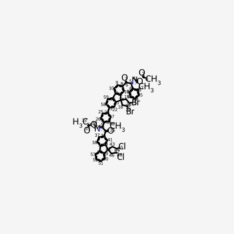 CC(=O)O/N=C(/C(=O)c1ccc2c(c1)C(CCBr)(CCBr)c1cc(-c3ccc(/C(=N\OC(C)=O)C(=O)c4ccc5c(c4)C(CCCl)(CCCl)c4ccccc4-5)c(C)c3)ccc1-2)c1ccccc1C